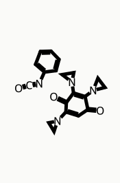 O=C1C=C(N2CC2)C(=O)C(N2CC2)=C1N1CC1.O=C=Nc1ccccc1